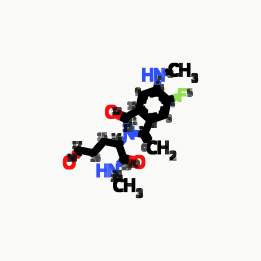 C=C1c2cc(F)c(NC)cc2C(=O)N1C(CCC=O)C(=O)NC